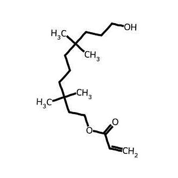 C=CC(=O)OCCC(C)(C)CCCC(C)(C)CCCO